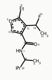 CCc1onc(C(=O)NC(C)C(C)C)c1C(C)F